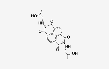 CC(O)CNN1C(=O)c2ccc3c4c(ccc(c24)C1=O)C(=O)N(NCC(C)O)C3=O